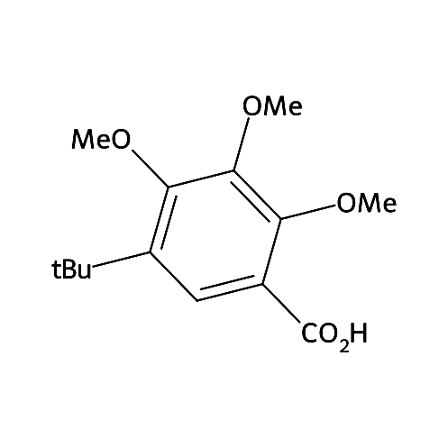 COc1c(C(=O)O)cc(C(C)(C)C)c(OC)c1OC